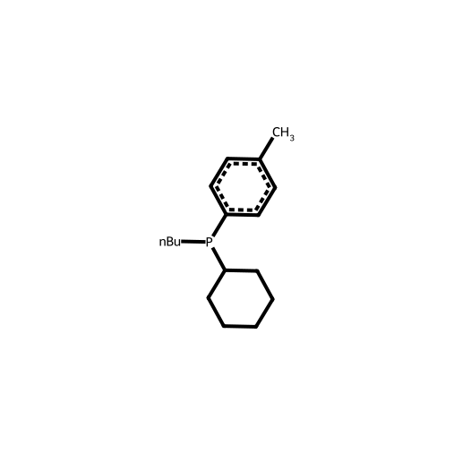 CCCCP(c1ccc(C)cc1)C1CCCCC1